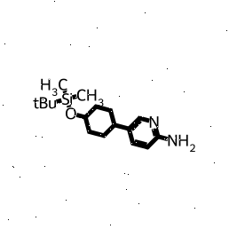 CC(C)(C)[Si](C)(C)OC1CCC(c2ccc(N)nc2)CC1